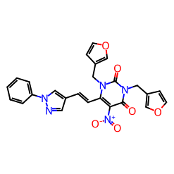 O=c1c([N+](=O)[O-])c(/C=C/c2cnn(-c3ccccc3)c2)n(Cc2ccoc2)c(=O)n1Cc1ccoc1